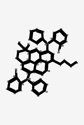 CCCCc1cc(N(c2ccccc2)c2ccccc2F)c2cc3c4c(cc(N(c5ccccc5)c5ccccc5F)c5ccc1c2c54)CCC3(C)C